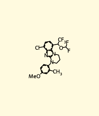 COc1ccc(N2CCCn3c2nc2c(Cl)ccc(C(OC(F)F)C(F)(F)F)c23)c(C)c1